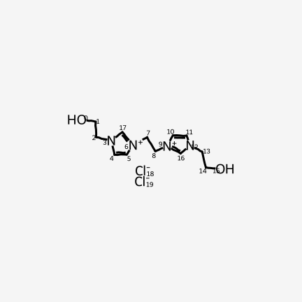 OCCn1cc[n+](CC[n+]2ccn(CCO)c2)c1.[Cl-].[Cl-]